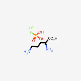 F.NCCCC(N)C(=O)O.O=P(O)(O)F